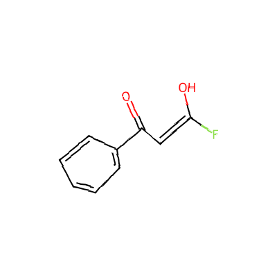 O=C(/C=C(\O)F)c1ccccc1